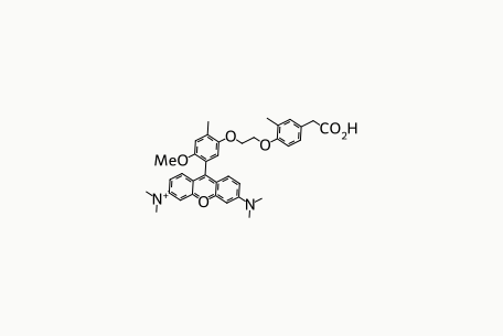 COc1cc(C)c(OCCOc2ccc(CC(=O)O)cc2C)cc1-c1c2ccc(=[N+](C)C)cc-2oc2cc(N(C)C)ccc12